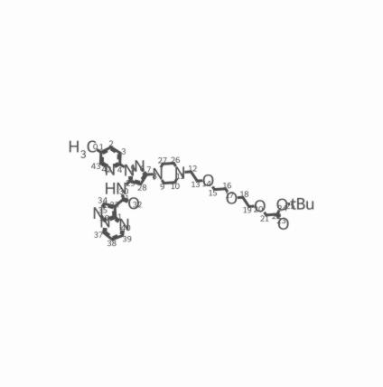 Cc1ccc(-n2nc(N3CCN(CCOCCOCCOCC(=O)OC(C)(C)C)CC3)cc2NC(=O)c2cnn3cccnc23)nc1